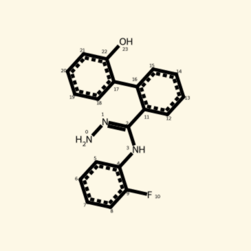 N/N=C(\Nc1ccccc1F)c1ccccc1-c1ccccc1O